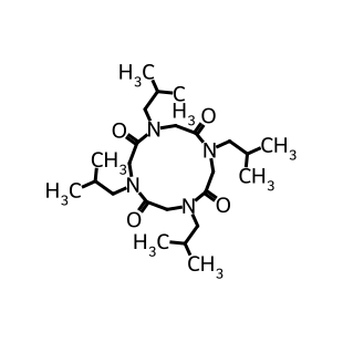 CC(C)CN1CC(=O)N(CC(C)C)CC(=O)N(CC(C)C)CC(=O)N(CC(C)C)CC1=O